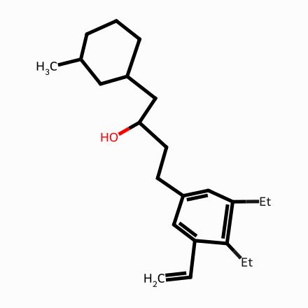 C=Cc1cc(CCC(O)CC2CCCC(C)C2)cc(CC)c1CC